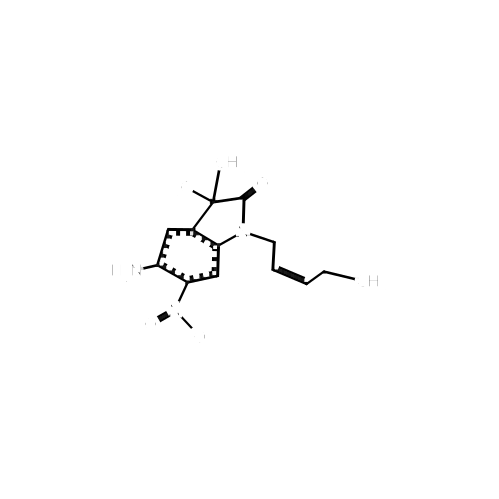 CC/C=C\CN1C(=O)C(C)(C)c2cc(N)c([N+](=O)[O-])cc21